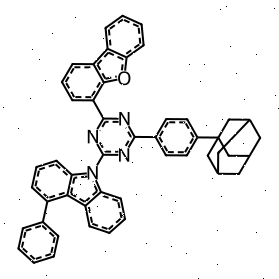 c1ccc(-c2cccc3c2c2ccccc2n3-c2nc(-c3ccc(C45CC6CC(CC(C6)C4)C5)cc3)nc(-c3cccc4c3oc3ccccc34)n2)cc1